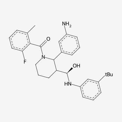 Cc1cccc(F)c1C(=O)N1CCCC([C@@H](O)Nc2cccc(C(C)(C)C)c2)C1c1cccc(N)c1